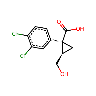 O=C(O)[C@@]1(c2ccc(Cl)c(Cl)c2)C[C@H]1CO